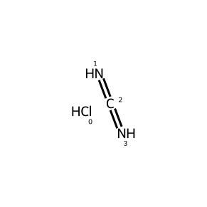 Cl.N=C=N